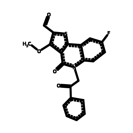 COc1c(C=O)sc2c1c(=O)n(CC(=O)c1ccccc1)c1ccc(F)cc21